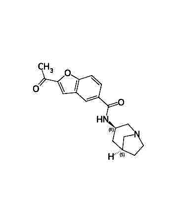 CC(=O)c1cc2cc(C(=O)N[C@@H]3C[C@@H]4CCN(C4)C3)ccc2o1